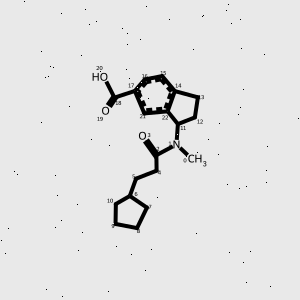 CN(C(=O)CCC1CCCC1)C1CCc2ccc(C(=O)O)cc21